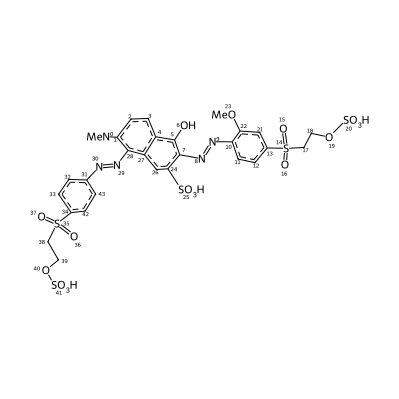 CNc1ccc2c(O)c(/N=N/c3ccc(S(=O)(=O)CCOS(=O)(=O)O)cc3OC)c(S(=O)(=O)O)cc2c1/N=N/c1ccc(S(=O)(=O)CCOS(=O)(=O)O)cc1